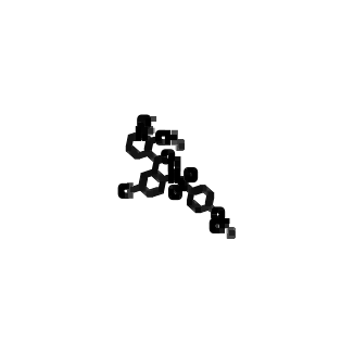 Cc1c(C(=O)c2cc(Cl)ccc2NS(=O)(=O)c2ccc(OC(F)(F)F)cc2)ccc[n+]1[O-]